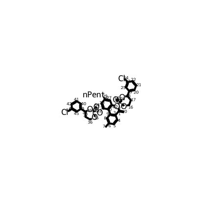 C=C(C)c1ccc(C)cc1-c1c(OP2(=O)OCCC(c3cccc(Cl)c3)O2)cc(CCCCC)cc1OP1(=O)OCCC(c2cccc(Cl)c2)O1